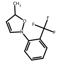 CC1C=CN(c2ccccc2C(F)(F)F)O1